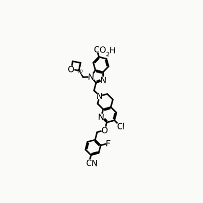 N#Cc1ccc(COc2nc3c(cc2Cl)CCN(Cc2nc4ccc(C(=O)O)cc4n2C[C@@H]2CCO2)C3)c(F)c1